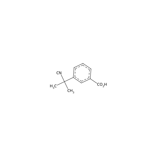 [C-]#[N+]C(C)(C)c1cccc(C(=O)O)c1